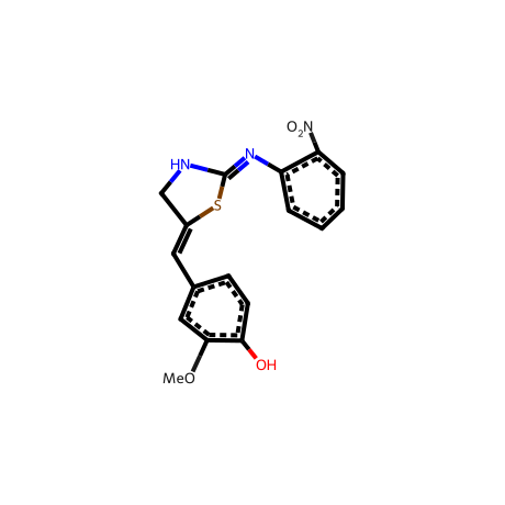 COc1cc(C=C2CNC(=Nc3ccccc3[N+](=O)[O-])S2)ccc1O